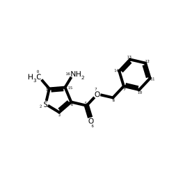 Cc1scc(C(=O)OCc2ccccc2)c1N